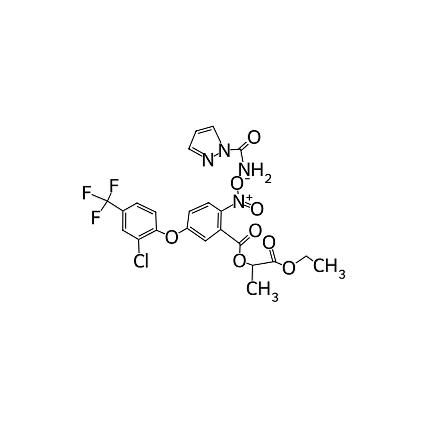 CCOC(=O)C(C)OC(=O)c1cc(Oc2ccc(C(F)(F)F)cc2Cl)ccc1[N+](=O)[O-].NC(=O)n1cccn1